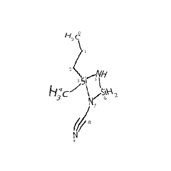 CCC[Si]1(C)N[SiH2]N1C#N